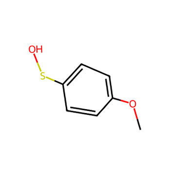 COc1ccc(SO)cc1